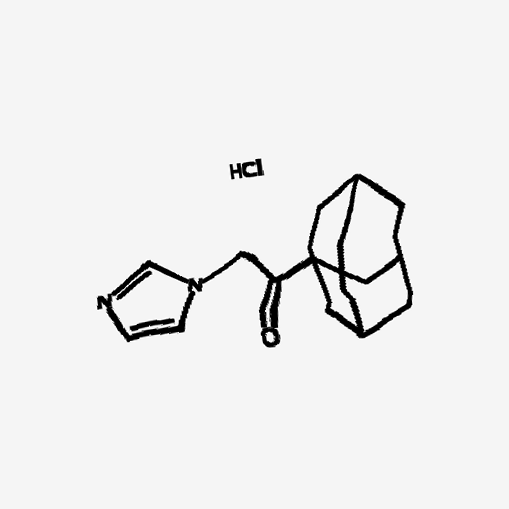 Cl.O=C(Cn1ccnc1)C12CC3CC(CC(C3)C1)C2